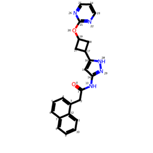 O=C(Cc1cccc2ccccc12)Nc1cc(C2CC(Oc3ncccn3)C2)[nH]n1